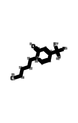 O=c1cc(C(F)(F)F)ccn1CCCCCl